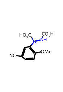 COc1ccc(C#N)cc1N(NC(=O)O)C(=O)O